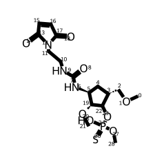 COC[C@H]1C[C@H](NC(=O)NCCN2C(=O)C=CC2=O)[C@@H](OC)C1OP(O)(=S)OC